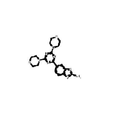 Nc1nc2cc(-c3nc(N4CCOCC4)nc(N4CCOCC4)n3)ccc2o1